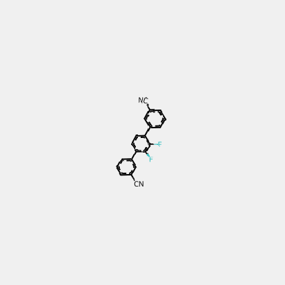 N#Cc1cccc(-c2ccc(-c3cccc(C#N)c3)c(F)c2F)c1